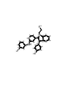 FCCn1c(-c2ccnc(Nc3cccc(F)c3)c2)c(-c2ccc(F)cc2)c2ncccc21